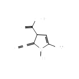 COC1=CC(C(=O)C(=O)O)C(=C=O)N1C